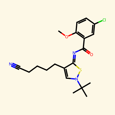 COc1ccc(Cl)cc1C(=O)N=c1sn(C(C)(C)C)cc1CCCCC#N